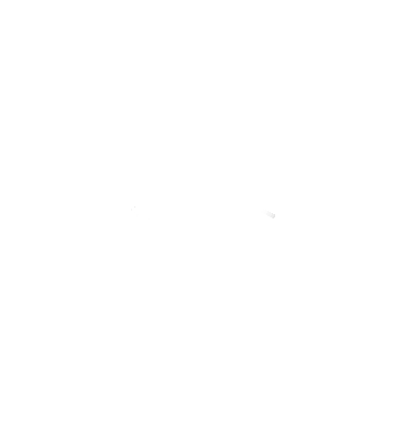 [C]#CCCCCCCCCSC